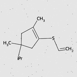 C=CSC1=C(C)CC(C)(C(C)C)C1